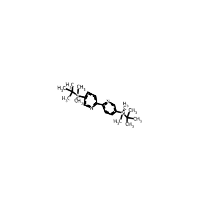 CC(C)(C)[Si](C)(C)c1ccc(-c2ccc([Si](C)(C)C(C)(C)C)cn2)nc1